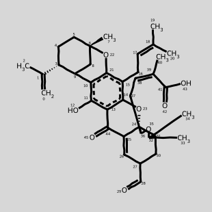 C=C(C)[C@@H]1CC[C@@]2(C)CC1c1c(O)c3c(c(CC=C(C)C)c1O2)O[C@]12C(=CC(C=O)CC1C(C)(C)OC2C/C=C(/C)C(=O)O)C3=O